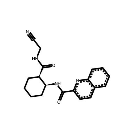 N#CCNC(=O)[C@@H]1CCCC[C@@H]1NC(=O)c1ccc2ccccc2n1